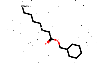 CCCCCCCCCCCCCCCC(=O)OCC1CCCCC1